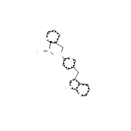 CN(C)c1ncccc1CNc1ccc(Cc2c[nH]c3ncccc23)cn1